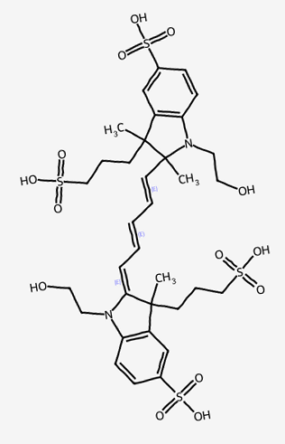 CC1(CCCS(=O)(=O)O)\C(=C/C=C/C=C/C2(C)N(CCO)c3ccc(S(=O)(=O)O)cc3C2(C)CCCS(=O)(=O)O)N(CCO)c2ccc(S(=O)(=O)O)cc21